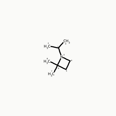 CC(C)N1CCC1(C)C